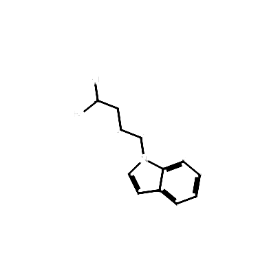 CC(Br)CCCn1ccc2ccccc21